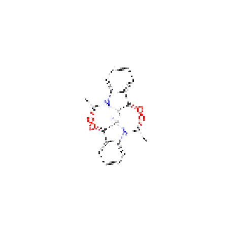 CC(=O)N1/C(=C2\C(=O)c3ccccc3N2C(C)=O)C(=O)c2ccccc21